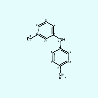 CCc1cccc(Nc2ccc(N)cc2)c1